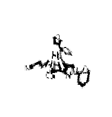 N#CCCNC(=O)c1nn(C2CCCCO2)cc1NC(=O)c1ccoc1